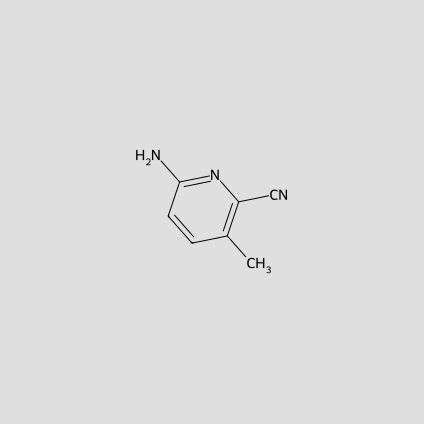 Cc1ccc(N)nc1C#N